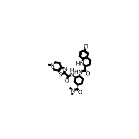 CN1CCc2nc(C(=O)N[C@@H]3C[C@@H](C(=O)N(C)C)CC[C@@H]3NC(=O)C3CCc4cc(Cl)ccc4N3)sc2C1